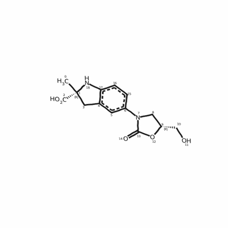 C[C@]1(C(=O)O)Cc2cc(N3C[C@H](CO)OC3=O)ccc2N1